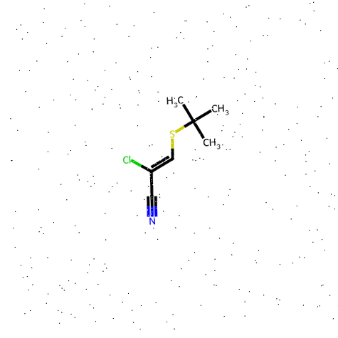 CC(C)(C)S/C=C(\Cl)C#N